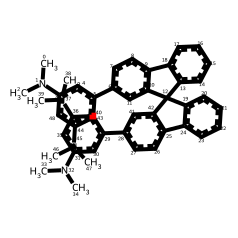 CN(C)c1cc(-c2ccc3c(c2)C2(c4ccccc4-3)c3ccccc3-c3ccc(-c4cc(N(C)C)cc(N(C)C)c4)cc32)cc(N(C)C)c1